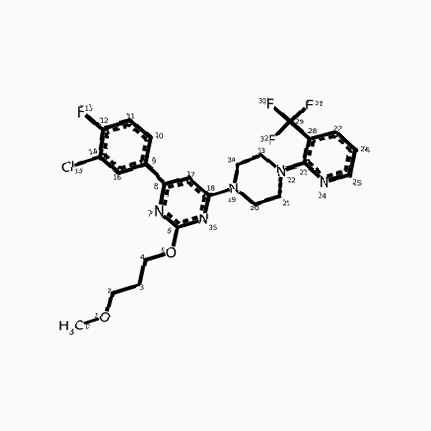 COCCCOc1nc(-c2ccc(F)c(Cl)c2)cc(N2CCN(c3ncccc3C(F)(F)F)CC2)n1